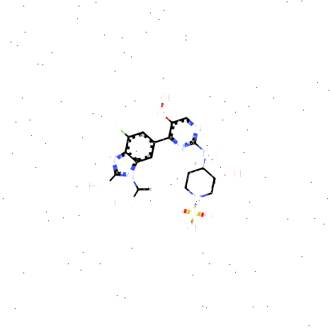 COc1cnc(N[C@@H]2CCN(S(C)(=O)=O)C[C@H]2O)nc1-c1cc(F)c2nc(C)n(C(C)C)c2c1